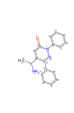 CC(N)c1cc(=O)n(-c2ccccc2)nc1-c1ccccc1